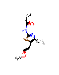 Cc1nc(NC(=O)CC#N)sc1CCO[N+](=O)[O-]